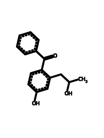 CC(O)Cc1cc(O)ccc1C(=O)c1ccccc1